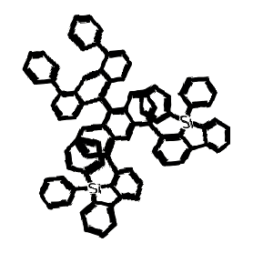 c1ccc(-c2cccc3c(-c4c5cccc(-c6cccc7c6[Si](c6ccccc6)(c6ccccc6)c6ccccc6-7)c5cc5c(-c6cccc7c6[Si](c6ccccc6)(c6ccccc6)c6ccccc6-7)cccc45)c4cccc(-c5ccccc5)c4cc23)cc1